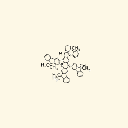 CC1(C)c2ccccc2-c2cc(N3c4cc5c(cc4B4c6cc7c(cc6-c6cc(N8c9ccccc9C9(C)CCCCC89C)cc3c64)-c3ccccc3C7(C)C)C(C)(C)c3ccccc3-5)ccc21